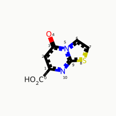 O=C(O)c1cc(=O)n2ccsc2n1